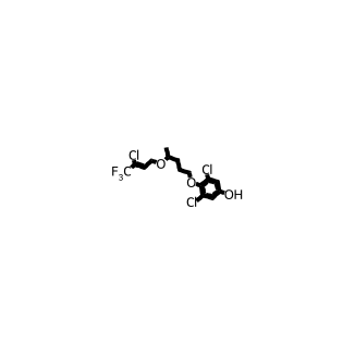 CC(CCCOc1c(Cl)cc(O)cc1Cl)OCC=C(Cl)C(F)(F)F